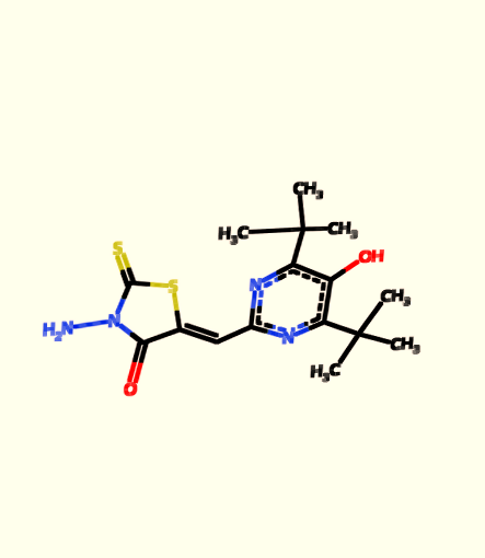 CC(C)(C)c1nc(/C=C2\SC(=S)N(N)C2=O)nc(C(C)(C)C)c1O